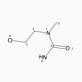 CN(CCCl)C([NH])=O